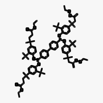 C=C(CC(C)(C)c1ccc(OP(Oc2ccc(C(C)(C)CC(=C)OOCC)cc2C(C)(C)C)c2ccc(-c3ccc(P(Oc4ccc(C(C)(C)CCC(=O)OCC)cc4C(C)(C)C)Oc4ccc(C(C)(C)CCC(=O)OCC)cc4C(C)(C)C)cc3)cc2)c(C(C)(C)C)c1)OOCC